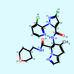 Cc1cc2ccnn2c(C(=O)NCC2CCOCC2)c1NC(=O)c1cc(Br)nn1-c1ncccc1Cl